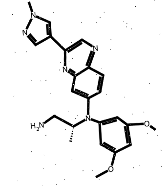 COc1cc(OC)cc(N(c2ccc3ncc(-c4cnn(C)c4)nc3c2)[C@H](C)CN)c1